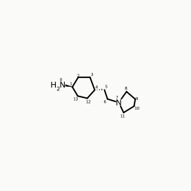 N[C@H]1CC[C@H](CCN2CCCC2)CC1